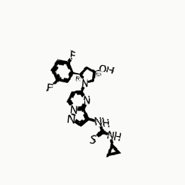 O[C@H]1C[C@H](c2cc(F)ccc2F)N(c2ccn3ncc(NC(=S)NC4CC4)c3n2)C1